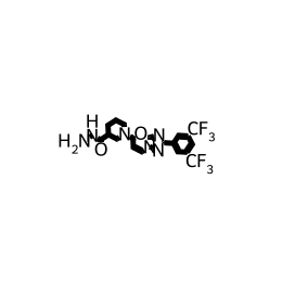 NNC(=O)C1CCCN(C(=O)/C=C\n2cnc(-c3cc(C(F)(F)F)cc(C(F)(F)F)c3)n2)C1